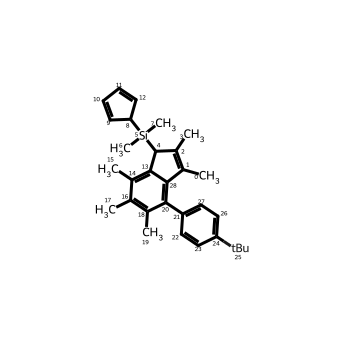 CC1=C(C)C([Si](C)(C)C2C=CC=C2)c2c(C)c(C)c(C)c(-c3ccc(C(C)(C)C)cc3)c21